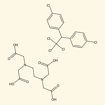 Clc1ccc(C(c2ccc(Cl)cc2)C(Cl)(Cl)Cl)cc1.O=C(O)CN(CCN(CC(=O)O)CC(=O)O)CC(=O)O